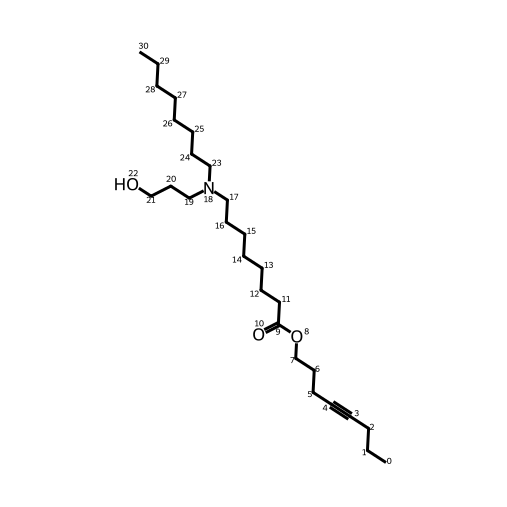 CCCC#CCCCOC(=O)CCCCCCCN(CCCO)CCCCCCCC